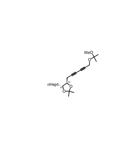 CCCCCCC[C@H]1OC(C)(C)O[C@@H]1CC#CC#CCOC(C)(C)OC